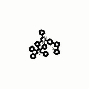 c1ccc(-c2cc(-c3cccc(-c4c(-c5ccccc5)c(-c5ccccc5)nc(-c5ccccc5)c4-c4ccccc4)c3)nc(-c3ccc(-c4cccc5c4sc4ccccc45)cc3)n2)cc1